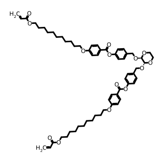 C=CC(=O)OCCCCCCCCCCCOc1ccc(C(=O)Oc2ccc(CO[C@H]3OCCO[C@@H]3OCc3ccc(OC(=O)c4ccc(OCCCCCCCCCCCOC(=O)C=C)cc4)cc3)cc2)cc1